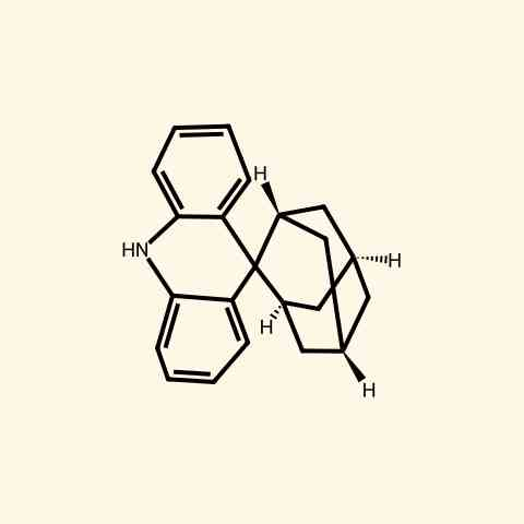 c1ccc2c(c1)Nc1ccccc1C21[C@H]2C[C@@H]3C[C@@H](C[C@H]1C3)C2